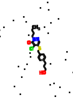 CCCCn1ncc(SCc2ccc(CCCO)cc2)c(Cl)c1=O